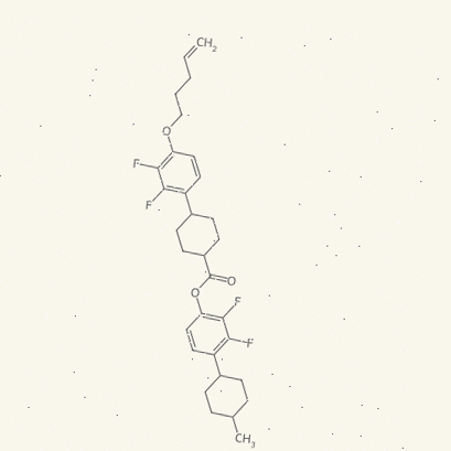 C=CCCCOc1ccc(C2CCC(C(=O)Oc3ccc(C4CCC(C)CC4)c(F)c3F)CC2)c(F)c1F